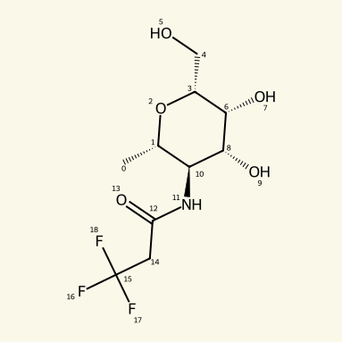 C[C@@H]1O[C@H](CO)[C@H](O)[C@H](O)[C@H]1NC(=O)CC(F)(F)F